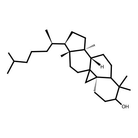 CC(C)CCC[C@@H](C)[C@H]1CC[C@@]2(C)[C@@H]3CCC4C(C)(C)C(O)CC[C@@]45CC35CC[C@]12C